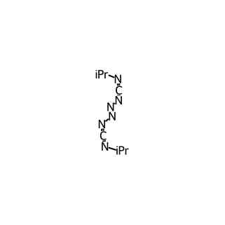 CC(C)N=C=NN=NN=C=NC(C)C